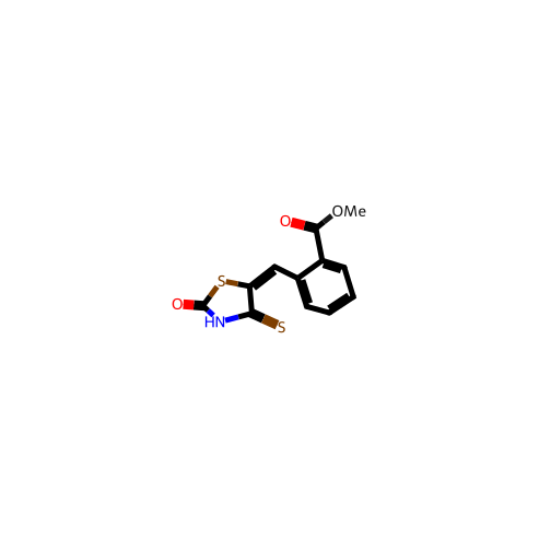 COC(=O)c1ccccc1/C=C1/SC(=O)NC1=S